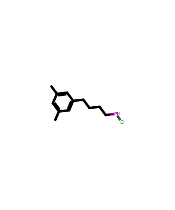 Cc1cc(C)cc(CCCCPCl)c1